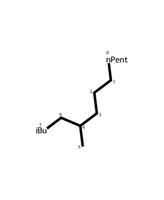 [CH2]CCCCCCCC(C)CC(C)CC